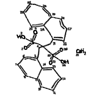 O=S(=O)(O)C(c1cccc2ccccc12)(c1cccc2ccccc12)S(=O)(=O)O.[CaH2]